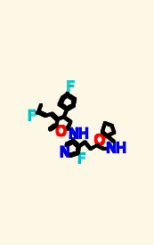 C=C/C(=C\C=C(/C)F)C(CC(=O)Nc1cncc(F)c1CC[C@@H]1CNCC2(CCCC2)O1)c1ccc(F)cc1